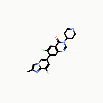 Cc1cn2cc(-c3cc4ncn(C5CCNCC5)c(=O)c4cc3F)cc(F)c2n1